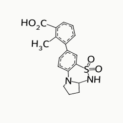 Cc1c(C(=O)O)cccc1-c1ccc2c(c1)S(=O)(=O)NC1CCCN21